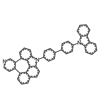 c1cc2c3c(c1)ccc1c3c3c(cccc3n1-c1ccc(-c3ccc(-n4c5ccccc5c5ccccc54)cc3)cc1)-c1cnccc1-2